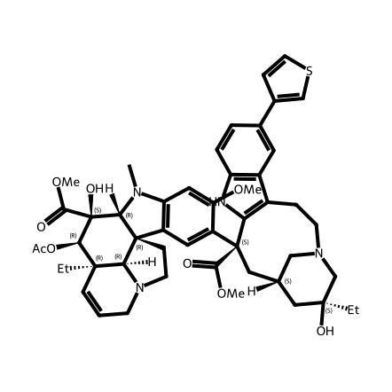 CC[C@]1(O)C[C@H]2CN(CCc3c([nH]c4ccc(-c5ccsc5)cc34)[C@@](C(=O)OC)(c3cc4c(cc3OC)N(C)[C@H]3[C@@](O)(C(=O)OC)[C@H](OC(C)=O)[C@]5(CC)C=CCN6CC[C@]43[C@@H]65)C2)C1